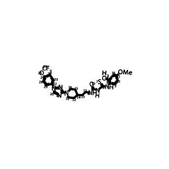 COc1ccc(NC(=S)NC(=O)NCCC2CCN(c3ncn(-c4ccc(OC(F)(F)F)cc4)n3)CC2)c(C)c1